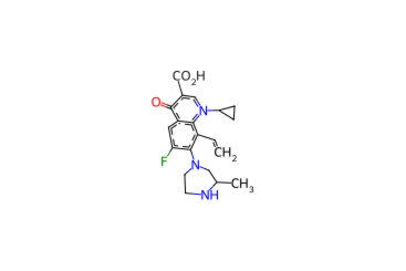 C=Cc1c(N2CCNC(C)C2)c(F)cc2c(=O)c(C(=O)O)cn(C3CC3)c12